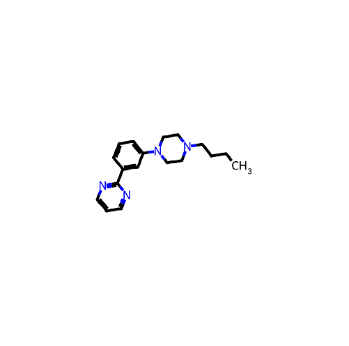 CCCCN1CCN(c2cccc(-c3ncccn3)c2)CC1